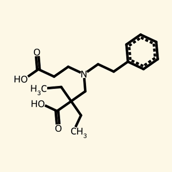 CCC(CC)(CN(CCC(=O)O)CCc1ccccc1)C(=O)O